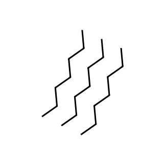 CCCCCCC.CCCCCCC.CCCCCCC